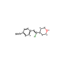 CSc1ccc(/C=C(\F)C2CCOCC2)cc1